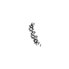 CCn1cc2c(n1)CCN(C(=O)CN1CCN(c3ccc(C(F)(F)F)cn3)C(=O)C1)C2